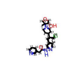 CC1(N2CCC(c3cc4cc(NC(=O)Cc5cccnc5)ncc4cc3Cl)CC2)COCC1O